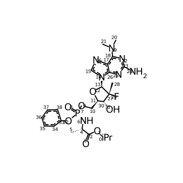 CC(C)OC(=O)[C@H](C)N[P@](=O)(OC[C@H]1O[C@@H](n2cnc3c(N(C)C)nc(N)nc32)[C@](C)(F)[C@@H]1O)Oc1ccccc1